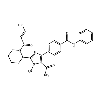 CC=CC(=O)N1CCCCC1c1nc(-c2ccc(C(=O)Nc3ccccn3)cc2)c(C(N)=O)n1N